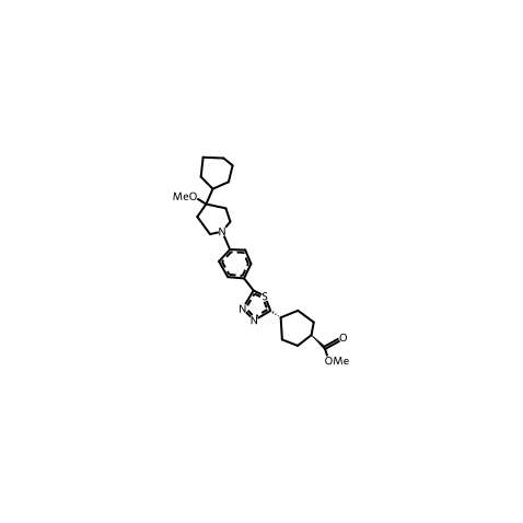 COC(=O)[C@H]1CC[C@H](c2nnc(-c3ccc(N4CCC(OC)(C5CCCCC5)CC4)cc3)s2)CC1